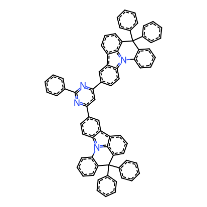 c1ccc(-c2nc(-c3ccc4c(c3)c3cccc5c3n4-c3ccccc3C5(c3ccccc3)c3ccccc3)cc(-c3ccc4c(c3)c3cccc5c3n4-c3ccccc3C5(c3ccccc3)c3ccccc3)n2)cc1